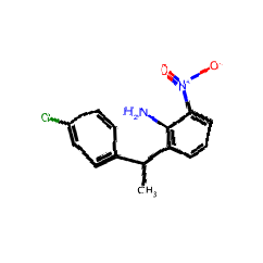 CC(c1ccc(Cl)cc1)c1cccc([N+](=O)[O-])c1N